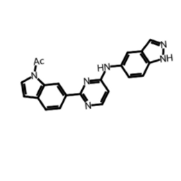 CC(=O)n1ccc2ccc(-c3nccc(Nc4ccc5[nH]ncc5c4)n3)cc21